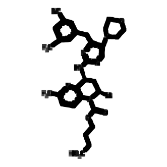 CC[C@@H]1C[C@H](Nc2ncc(N3CCOCC3)c(Cc3cc(C#N)cc(C(F)(F)F)c3)n2)c2nc(C(F)(F)F)ccc2N1C(=O)OCCCC(=O)O